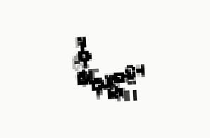 N#Cc1ccc(COc2cccc(-c3cc(F)c(Cc4nc5ccc(C(=O)O)cc5n4[C@H]4CNCC45CC5)cc3F)n2)c(F)c1